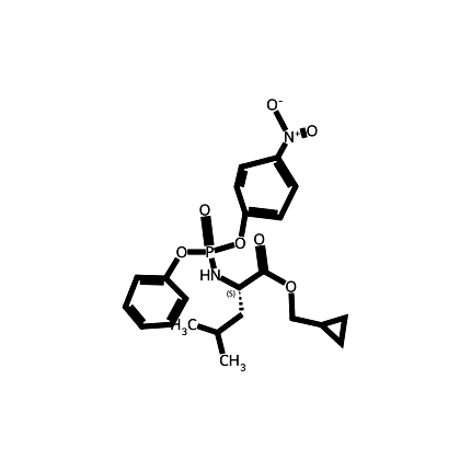 CC(C)C[C@H](NP(=O)(Oc1ccccc1)Oc1ccc([N+](=O)[O-])cc1)C(=O)OCC1CC1